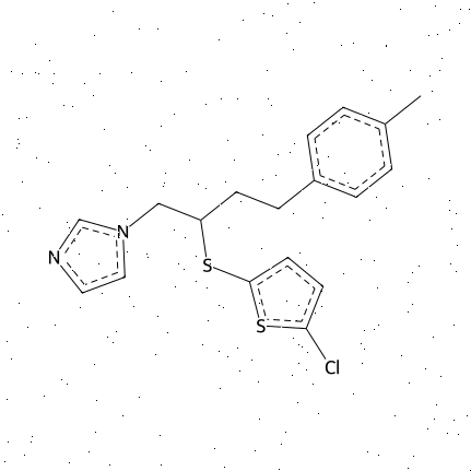 Cc1ccc(CCC(Cn2ccnc2)Sc2ccc(Cl)s2)cc1